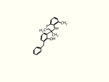 CCC(C)(Pc1c(C)cccc1F)c1cccc(Cc2ccccc2)c1O